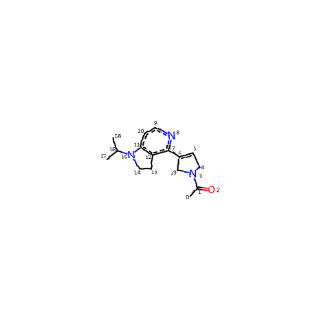 CC(=O)N1CC=C(c2nccc3c2CCN3C(C)C)C1